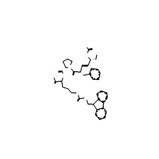 COC(=O)C(CCCNC(=O)OCC1c2ccccc2-c2ccccc21)NC(=O)[C@@H]1CCCN1C(=O)[C@@H](/C=C/[C@H](CC(C)C)NC(=O)OC(C)(C)C)Cc1ccccc1